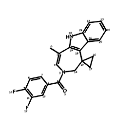 CC1=CN(C(=O)c2ccc(F)c(F)c2)CC2(CC2)c2c1[nH]c1ccccc21